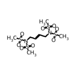 CS(=O)(=O)N(CC=CCN(S(C)(=O)=O)S(C)(=O)=O)S(C)(=O)=O